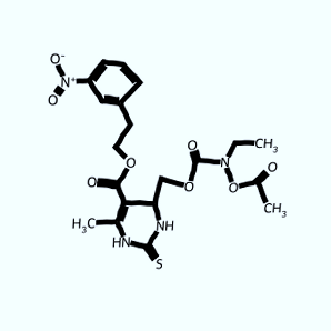 CCN(OC(C)=O)C(=O)OCC1NC(=S)NC(C)=C1C(=O)OCCc1cccc([N+](=O)[O-])c1